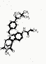 C=CC(=O)Nc1ccc2c3c(n(Cc4ccc(C(=O)OC(C)(C)C)cc4)c2c1)CN1CC3C(=O)N(C)C1=O